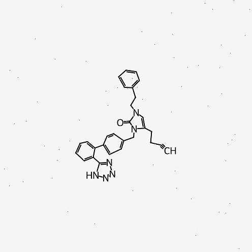 C#CCCc1cn(CCc2ccccc2)c(=O)n1Cc1ccc(-c2ccccc2-c2nnn[nH]2)cc1